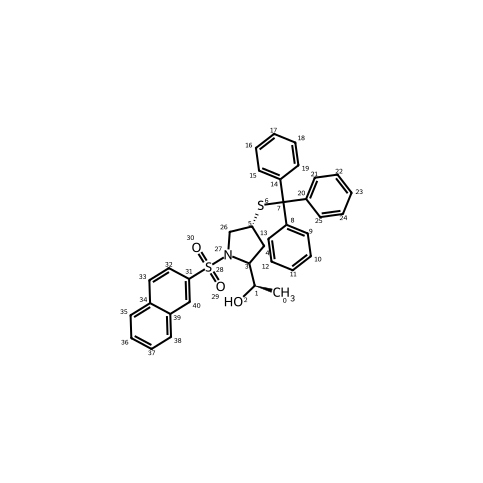 C[C@@H](O)C1C[C@@H](SC(c2ccccc2)(c2ccccc2)c2ccccc2)CN1S(=O)(=O)c1ccc2ccccc2c1